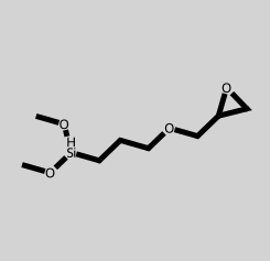 CO[SiH](CCCOCC1CO1)OC